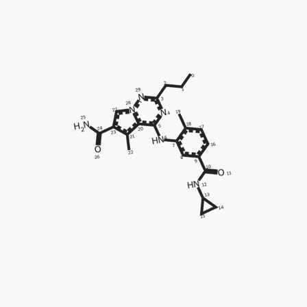 CCCc1nc(Nc2cc(C(=O)NC3CC3)ccc2C)c2c(C)c(C(N)=O)cn2n1